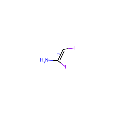 N/C(I)=C/I